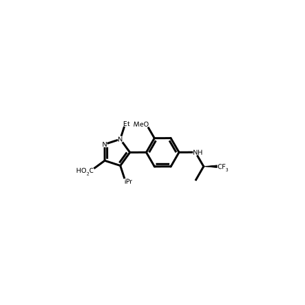 CCn1nc(C(=O)O)c(C(C)C)c1-c1ccc(N[C@H](C)C(F)(F)F)cc1OC